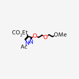 CCOC(=O)c1cn(C(C)=O)nc1OCCOCCOC